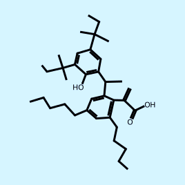 C=C(C(=O)O)c1c(CCCCC)cc(CCCCC)cc1C(C)c1cc(C(C)(C)CC)cc(C(C)(C)CC)c1O